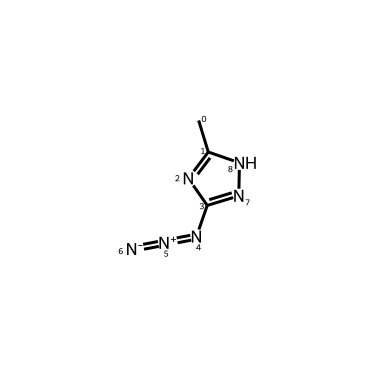 Cc1nc(N=[N+]=[N-])n[nH]1